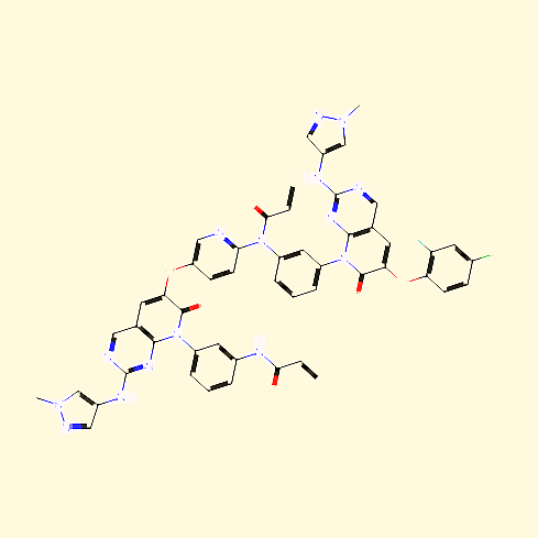 C=CC(=O)Nc1cccc(-n2c(=O)c(Oc3ccc(N(C(=O)C=C)c4cccc(-n5c(=O)c(Oc6ccc(Cl)cc6F)cc6cnc(Nc7cnn(C)c7)nc65)c4)nc3)cc3cnc(Nc4cnn(C)c4)nc32)c1